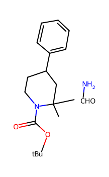 CC(C)(C)OC(=O)N1CCC(c2ccccc2)CC1(C)C.NC=O